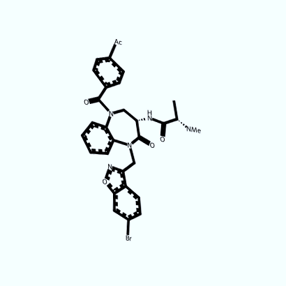 CN[C@@H](C)C(=O)N[C@H]1CN(C(=O)c2ccc(C(C)=O)cc2)c2ccccc2N(Cc2noc3cc(Br)ccc23)C1=O